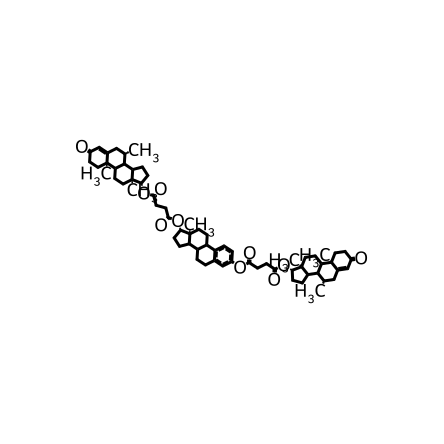 C[C@@H]1CC2=CC(=O)CC[C@]2(C)C2CC[C@@]3(C)C(CC[C@@H]3OC(=O)CCC(=O)Oc3ccc4c(c3)CCC3C4CC[C@@]4(C)C3CC[C@@H]4OC(=O)CCC(=O)O[C@H]3CCC4C5C(CC[C@@]43C)[C@@]3(C)CCC(=O)C=C3C[C@H]5C)C21